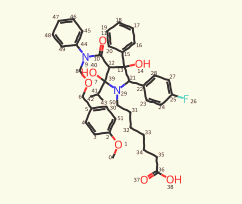 COc1ccc(COCN(C(=O)C2C(O)(c3ccccc3)C(c3ccc(F)cc3)N(CCCCCCC(=O)O)C2(O)C(C)C)c2ccccc2)cc1